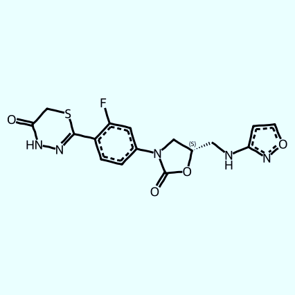 O=C1CSC(c2ccc(N3C[C@H](CNc4ccon4)OC3=O)cc2F)=NN1